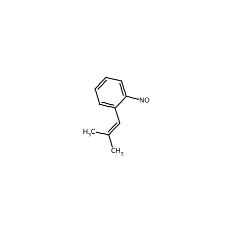 CC(C)=Cc1ccccc1N=O